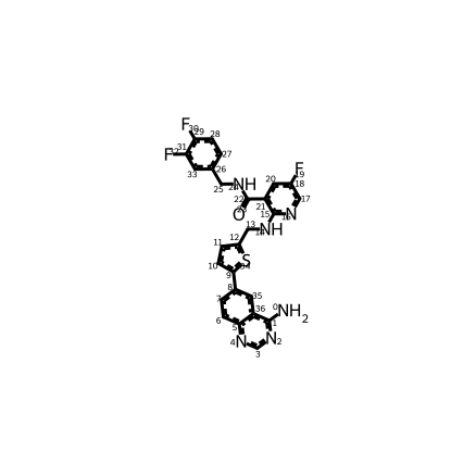 Nc1ncnc2ccc(-c3ccc(CNc4ncc(F)cc4C(=O)NCc4ccc(F)c(F)c4)s3)cc12